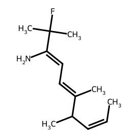 C/C=C\C(C)/C(C)=C/C=C(\N)C(C)(C)F